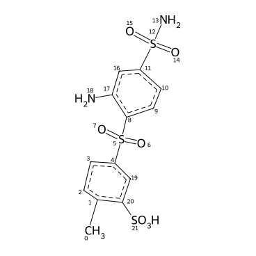 Cc1ccc(S(=O)(=O)c2ccc(S(N)(=O)=O)cc2N)cc1S(=O)(=O)O